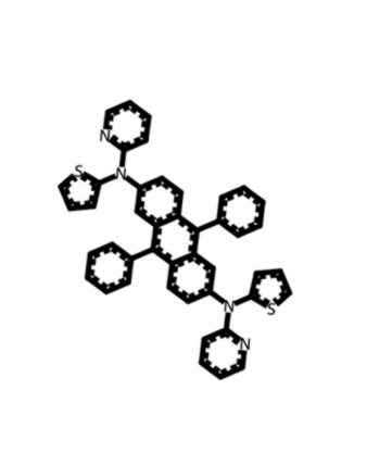 c1ccc(-c2c3ccc(N(c4ccccn4)c4cccs4)cc3c(-c3ccccc3)c3ccc(N(c4ccccn4)c4cccs4)cc23)cc1